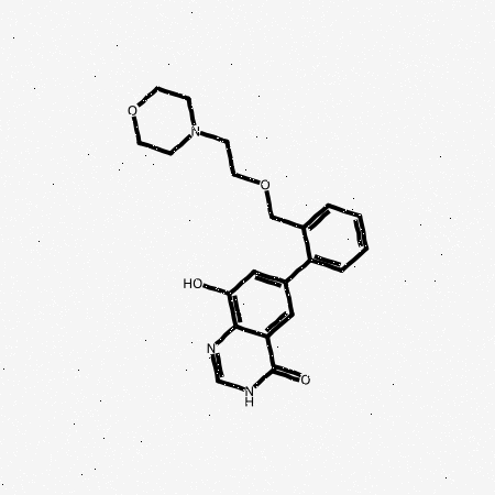 O=c1[nH]cnc2c(O)cc(-c3ccccc3COCCN3CCOCC3)cc12